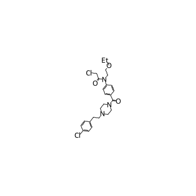 CCOCCN(C(=O)CCl)c1ccc(C(=O)N2CCN(CCc3ccc(Cl)cc3)CC2)cc1